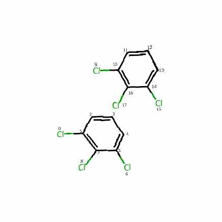 Clc1cccc(Cl)c1Cl.Clc1cccc(Cl)c1Cl